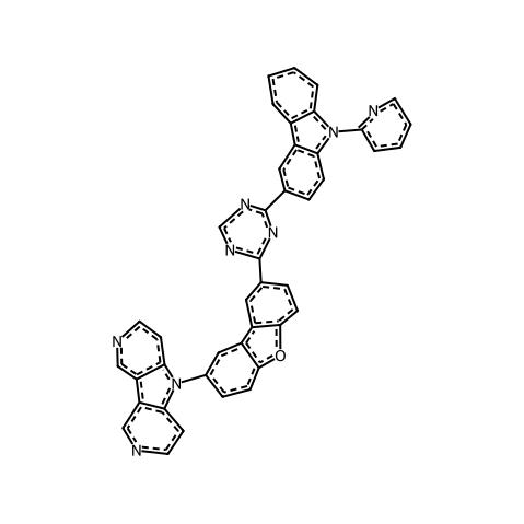 c1ccc(-n2c3ccccc3c3cc(-c4ncnc(-c5ccc6oc7ccc(-n8c9ccncc9c9cnccc98)cc7c6c5)n4)ccc32)nc1